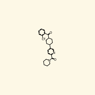 O=C(c1ccccc1C(F)(F)F)C1CCC(c2ccc(C(=O)N3CCCCC3)nc2)CC1